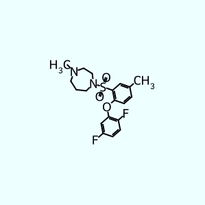 Cc1ccc(Oc2cc(F)ccc2F)c(S(=O)(=O)N2CCCN(C)CC2)c1